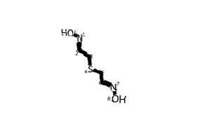 ON=CCSCC=NO